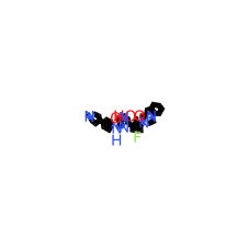 CN1CCC(c2ccc(Nc3nc(-c4cc(F)cc(N5CCn6c(cc7c6CCCC7)C5=O)c4CO)cn(C)c3=O)cc2)CC1